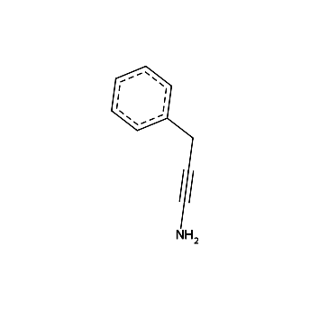 NC#CCc1ccccc1